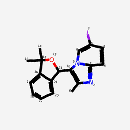 Cc1nc2ccc(I)cn2c1C1OC(C)(C)c2ccccc21